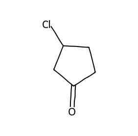 O=C1CCC(Cl)C1